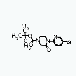 CC(C)(C)OC(=O)N1CCN(c2ccc(Br)cn2)C(=O)C1